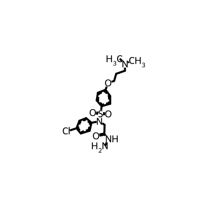 CN(C)CCCOc1ccc(S(=O)(=O)N(CC(=O)NN)c2ccc(Cl)cc2)cc1